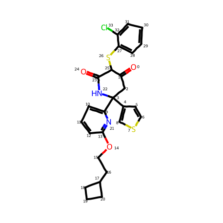 O=C1CC(c2ccsc2)(c2cccc(OCCC3CCC3)n2)NC(=O)C1Sc1ccccc1Cl